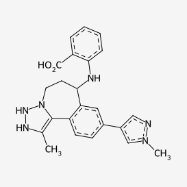 CC1=C2c3ccc(-c4cnn(C)c4)cc3C(Nc3ccccc3C(=O)O)CCN2NN1